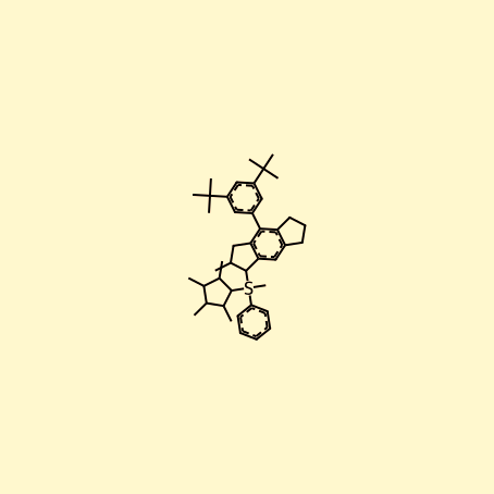 CC1Cc2c(cc3c(c2-c2cc(C(C)(C)C)cc(C(C)(C)C)c2)CCC3)C1S(C)(c1ccccc1)C1C(C)C(C)C(C)C1C